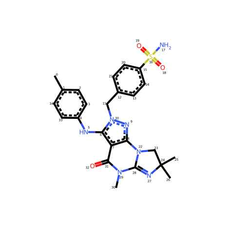 Cc1ccc(Nc2c3c(nn2Cc2ccc(S(N)(=O)=O)cc2)N2CC(C)(C)N=C2N(C)C3=O)cc1